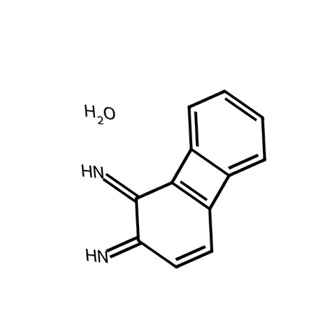 N=c1ccc2c3ccccc3c=2c1=N.O